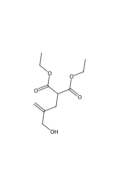 C=C(CO)CC(C(=O)OCC)C(=O)OCC